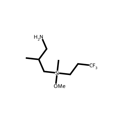 CO[Si](C)(CCC(F)(F)F)CC(C)CN